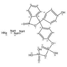 O=C1OC(c2ccc(O)cc2)(c2ccc(OP(=O)(O)OP(=O)(O)O)cc2)c2ccccc21.[NaH].[NaH].[NaH].[NaH]